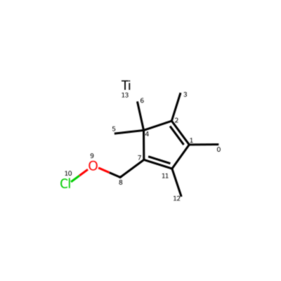 CC1=C(C)C(C)(C)C(COCl)=C1C.[Ti]